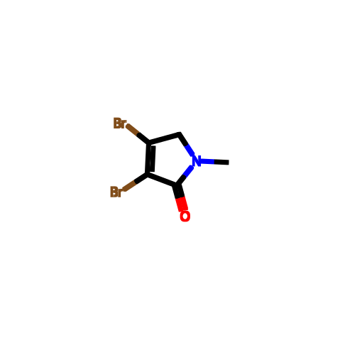 CN1CC(Br)=C(Br)C1=O